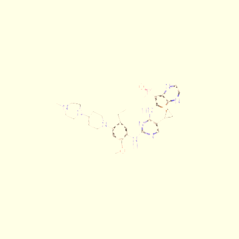 CCc1cc(Nc2ncc(C3CC3)c(Nc3sc4nccnc4c3P(C)(C)=O)n2)c(OC)cc1N1CCC(N2CCN(C)CC2)CC1